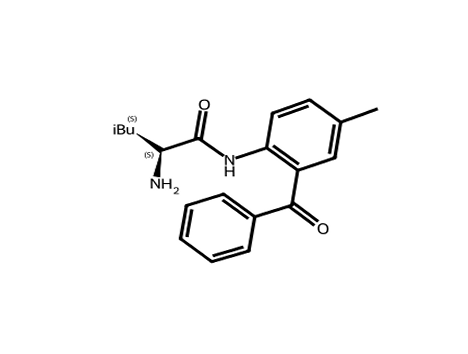 CC[C@H](C)[C@H](N)C(=O)Nc1ccc(C)cc1C(=O)c1ccccc1